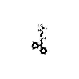 O=C(O)NCCNCCC(c1ccccc1)c1ccccc1